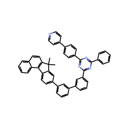 CC1(C)c2cc(-c3cccc(-c4cccc(-c5nc(-c6ccccc6)nc(-c6ccc(-c7ccncc7)cc6)n5)c4)c3)ccc2-c2c1ccc1ccccc21